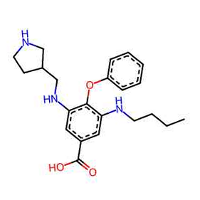 CCCCNc1cc(C(=O)O)cc(NCC2CCNC2)c1Oc1ccccc1